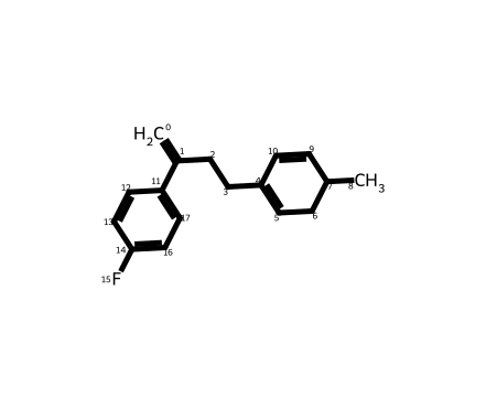 C=C(CCC1=CCC(C)C=C1)c1ccc(F)cc1